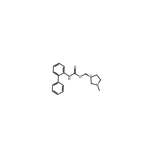 CN1CC[C@H](COC(=O)Nc2ccccc2-c2ccccc2)C1